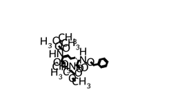 COC(=O)/C(=C\CC[C@H](NC(=O)OCc1ccccc1)C(=O)N[C@H](C)C(=O)OC)NC(=O)OC(C)(C)C